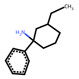 CCC1CCCC(N)(c2ccccc2)C1